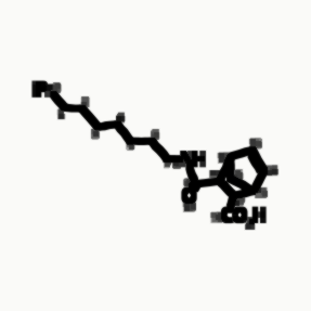 CC(C)CCCCCCCNC(=O)C1C2C=CC(C2)C1C(=O)O